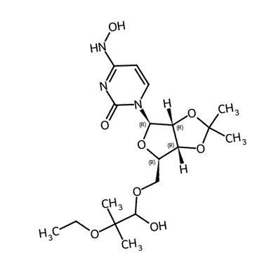 CCOC(C)(C)C(O)OC[C@H]1O[C@@H](n2ccc(NO)nc2=O)[C@@H]2OC(C)(C)O[C@@H]21